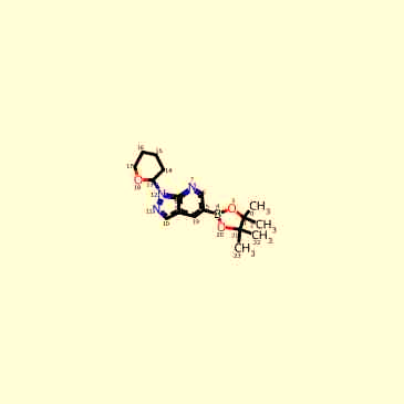 CC1(C)OB(c2cnc3c(cnn3C3CCCCO3)c2)OC1(C)C